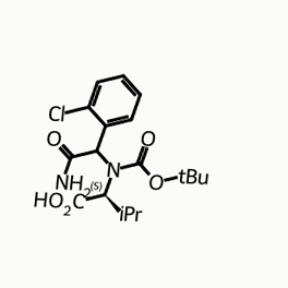 CC(C)[C@@H](C(=O)O)N(C(=O)OC(C)(C)C)C(C(N)=O)c1ccccc1Cl